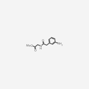 COC(=O)CNC(=O)Cc1cccc(N)c1